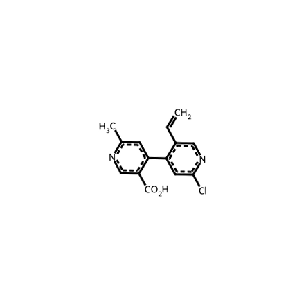 C=Cc1cnc(Cl)cc1-c1cc(C)ncc1C(=O)O